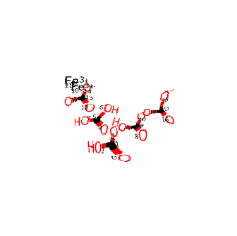 O=C(O)O.O=C(O)O.O=C([O-])[O-].O=C([O-])[O-].O=C([O-])[O-].[Fe+3].[Fe+3]